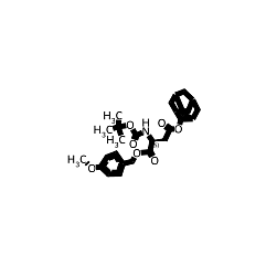 COc1ccc(COC(=O)[C@H](CC(=O)OC2C3CC4CC(C3)CC2C4)NC(=O)OC(C)(C)C)cc1